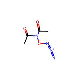 CC(=O)N(ON=[N+]=[N-])C(C)=O